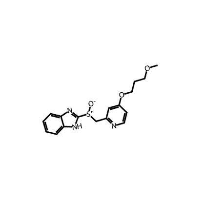 COCCCOc1ccnc(C[S+]([O-])c2nc3ccccc3[nH]2)c1